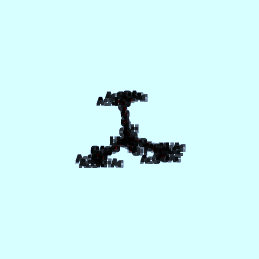 CC(=O)NC1C(OCCOCCOCCNC(=O)CN(CC(=O)NCCOCCOCCOC2OC(COC(C)=O)C(OC(C)=O)C(OC(C)=O)C2NC(C)=O)C(Cc2ccc(O)cc2)C(=O)NCCOCCOCCOC2OC(COC(C)=O)C(OC(C)=O)C(OC(C)=O)C2NC(C)=O)OC(COC(C)=O)C(OC(C)=O)C1OC(C)=O